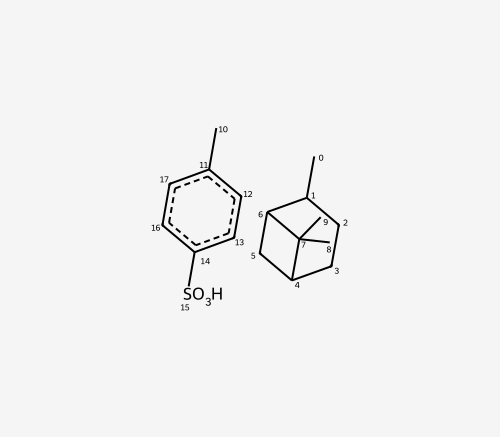 CC1CCC2CC1C2(C)C.Cc1ccc(S(=O)(=O)O)cc1